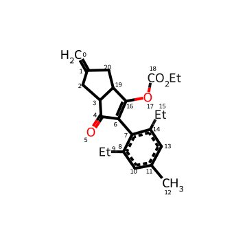 C=C1CC2C(=O)C(c3c(CC)cc(C)cc3CC)=C(OC(=O)OCC)C2C1